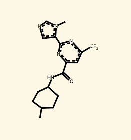 CC1CCC(NC(=O)c2cc(C(F)(F)F)nc(-c3cncn3C)n2)CC1